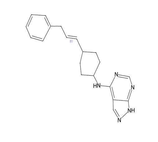 C(=C\C1CCC(Nc2ncnc3[nH]ncc23)CC1)/Cc1ccccc1